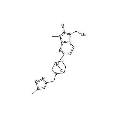 Cc1cc(CN2CC3CCC2CN3c2ccc3c(n2)n(C)c(=O)n3CC(C)(C)C)no1